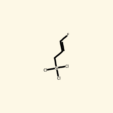 FC=CC[Si](Cl)(Cl)Cl